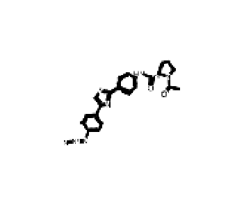 CC(=O)N1CCC[C@H]1C(=O)Nc1ccc(-c2nc(-c3ccc(N=[N+]=[N-])cc3)cs2)cc1